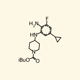 CC(C)COC(=O)N1CCC(Nc2cc(C3CC3)cc(F)c2N)CC1